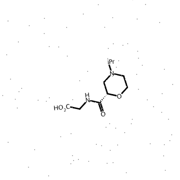 CC(C)N1CCO[C@H](C(=O)NCC(=O)O)C1